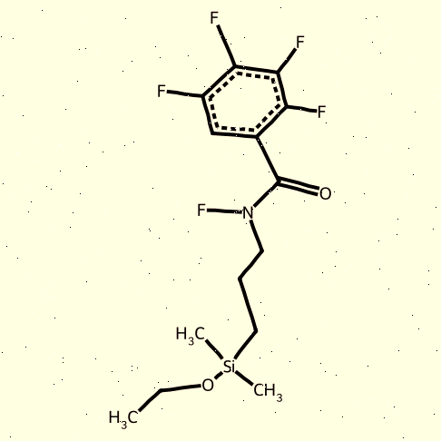 CCO[Si](C)(C)CCCN(F)C(=O)c1cc(F)c(F)c(F)c1F